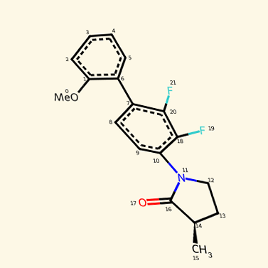 COc1ccccc1-c1ccc(N2CC[C@@H](C)C2=O)c(F)c1F